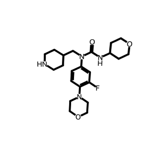 O=C(NC1CCOCC1)N(CC1CCNCC1)c1ccc(N2CCOCC2)c(F)c1